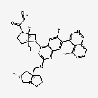 C=CC(=O)N1CC[C@@H]2[C@H]1CN2c1nc(OC[C@@]23CCCN2C[C@H](F)C3)nc2cc(-c3cncc4cccc(Cl)c34)c(F)cc12